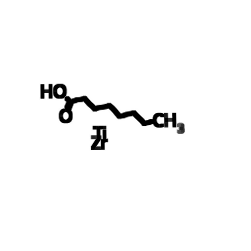 CCCCCCCC(=O)O.[Ti].[Zr]